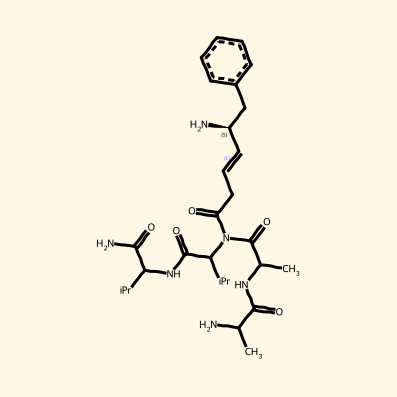 CC(N)C(=O)NC(C)C(=O)N(C(=O)C/C=C/[C@@H](N)Cc1ccccc1)C(C(=O)NC(C(N)=O)C(C)C)C(C)C